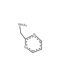 CC(=O)NCc1ncccn1